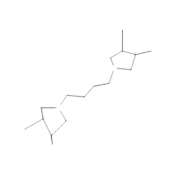 CC1CB(CCCCB2CC(C)C(C)C2)CC1C